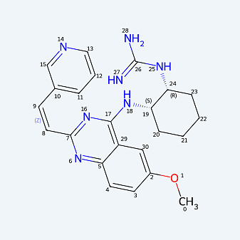 COc1ccc2nc(/C=C\c3cccnc3)nc(N[C@H]3CCCC[C@H]3NC(=N)N)c2c1